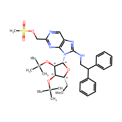 COC[C@H]1O[C@@H](n2c(NCC(c3ccccc3)c3ccccc3)nc3cnc(COS(C)(=O)=O)nc32)[C@H](O[Si](C)(C)C(C)(C)C)[C@@H]1O[Si](C)(C)C(C)(C)C